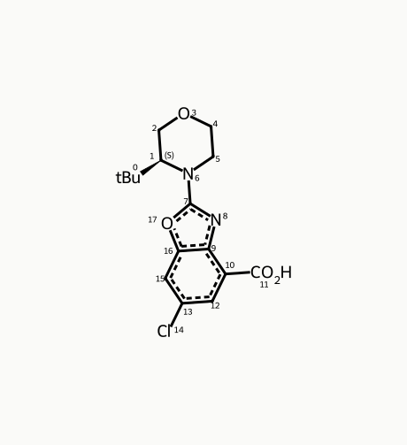 CC(C)(C)[C@H]1COCCN1c1nc2c(C(=O)O)cc(Cl)cc2o1